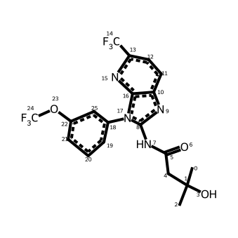 CC(C)(O)CC(=O)Nc1nc2ccc(C(F)(F)F)nc2n1-c1cccc(OC(F)(F)F)c1